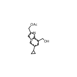 CC(=O)OCc1cn2cc(C3CC3)cc(CO)c2n1